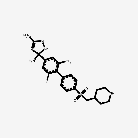 NC1=NC(N)(c2cc(Cl)c(-c3ccc(S(=O)(=O)CC4CCNCC4)cc3)c(C(F)(F)F)c2)NN1